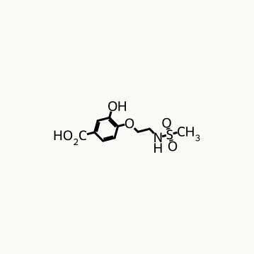 CS(=O)(=O)NCCOc1ccc(C(=O)O)cc1O